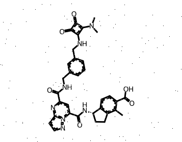 Cc1c(C(=O)O)ccc2c1CC[C@@H]2NC(=O)c1cc(C(=O)NCc2cccc(CNc3c(N(C)C)c(=O)c3=O)c2)nc2ccnn12